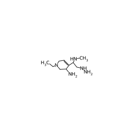 CCN1CC=C(C(CNN)NC)C(N)C1